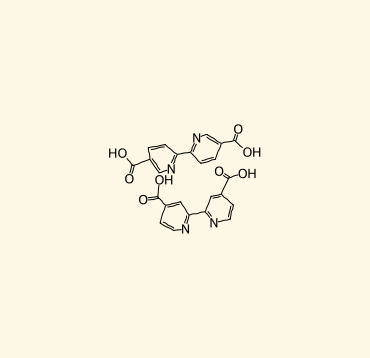 O=C(O)c1ccc(-c2ccc(C(=O)O)cn2)nc1.O=C(O)c1ccnc(-c2cc(C(=O)O)ccn2)c1